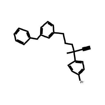 C#CC(C)(CCCc1cccc(Cc2ccccc2)c1)c1ccc(C(C)C)cc1